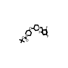 CC(C)(C)OC(=O)N1CCC(OC2CCN(Cc3c(F)cc(F)cc3F)CC2)CC1